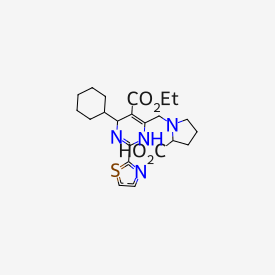 CCOC(=O)C1=C(CN2CCCC2C(=O)O)NC(c2nccs2)=NC1C1CCCCC1